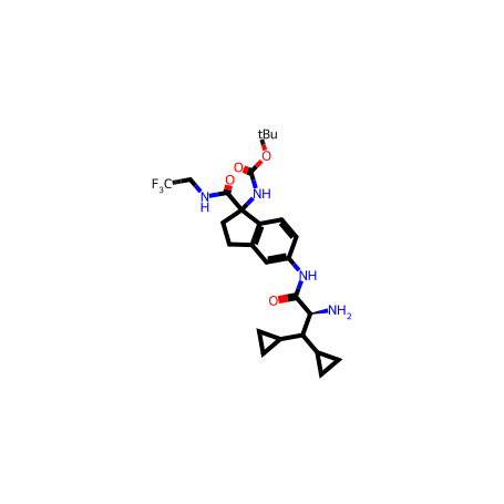 CC(C)(C)OC(=O)NC1(C(=O)NCC(F)(F)F)CCc2cc(NC(=O)[C@@H](N)C(C3CC3)C3CC3)ccc21